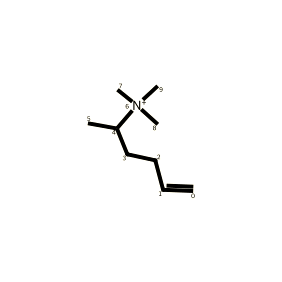 C=CCCC(C)[N+](C)(C)C